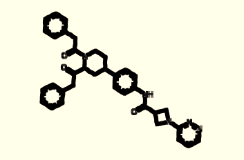 O=C(Nc1ccc(C2CCN(C(=O)Cc3ccccc3)C(C(=O)Cc3ccccc3)C2)cc1)C1CN(c2cccnn2)C1